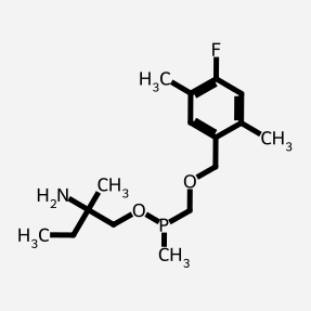 CCC(C)(N)COP(C)COCc1cc(C)c(F)cc1C